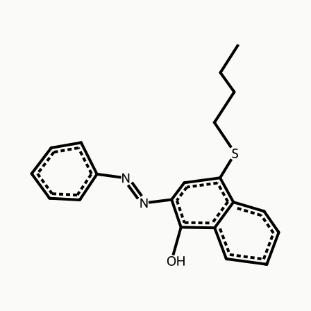 CCCCSc1cc(N=Nc2ccccc2)c(O)c2ccccc12